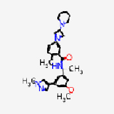 COc1cc(-c2cnn(C)c2)cc([C@@H](C)NC(=O)c2cc(N3CC(N4CCCCC4)C3)ccc2C)c1